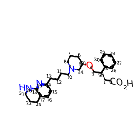 O=C(O)C[C@@H](CO[C@@H]1CCCN(CCCCc2ccc3c(n2)NCCC3)C1)c1ccccc1